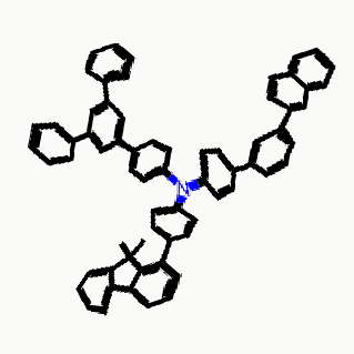 CC1(C)c2ccccc2-c2cccc(-c3ccc(N(c4ccc(-c5cccc(-c6ccc7ccccc7c6)c5)cc4)c4ccc(-c5cc(-c6ccccc6)cc(-c6ccccc6)c5)cc4)cc3)c21